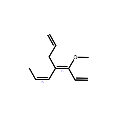 C=CCC(/C=C\C)=C(/C=C)OC